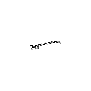 NCCOCCOCCOCCn1cc(C(=O)CI)nn1